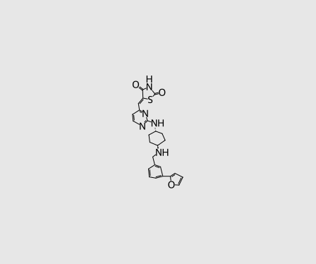 O=C1NC(=O)C(=Cc2ccnc(N[C@H]3CC[C@H](NCc4cccc(-c5ccco5)c4)CC3)n2)S1